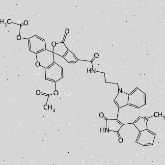 CC(=O)Oc1ccc2c(c1)Oc1cc(OC(C)=O)ccc1C21OC(=O)c2cc(C(=O)NCCCn3cc(C4=C(c5cn(C)c6ccccc56)C(=O)NC4=O)c4ccccc43)ccc21